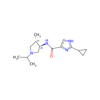 CC(C)N1C[C@H](NC(=O)c2c[nH]c(C3CC3)n2)[C@@H](C)C1